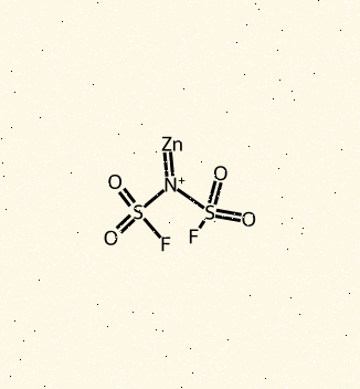 O=S(=O)(F)[N+](=[Zn])S(=O)(=O)F